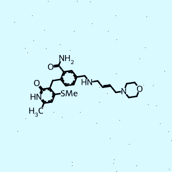 CSc1cc(C)[nH]c(=O)c1Cc1ccc(CNCC=CCN2CCOCC2)cc1C(N)=O